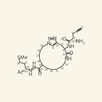 C#CC[C@H](N)C(=O)NC1Cc2cn(nn2)CCCCC(C(=O)NN[C@@H](CCSC)C(C)=O)CCCCCNC1=O